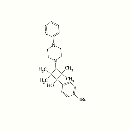 CCCCc1ccc(C2(O)C(C)(C)C(N3CCN(c4ccccn4)CC3)C2(C)C)cc1